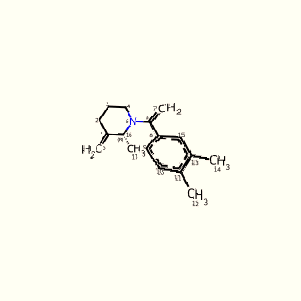 C=C1CCCN(C(=C)c2ccc(C)c(C)c2)[C@@H]1C